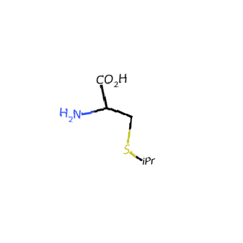 CC(C)SCC(N)C(=O)O